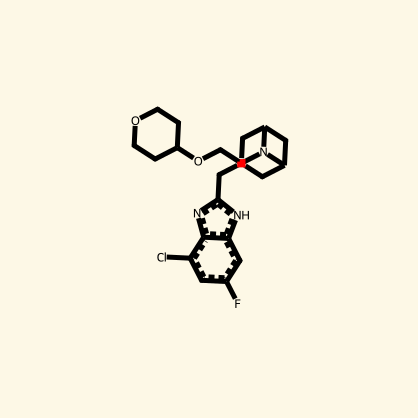 Fc1cc(Cl)c2nc(CN3CC4CC(C3)N4CCOC3CCOCC3)[nH]c2c1